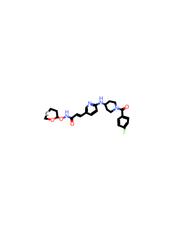 O=C(C=Cc1ccc(NC2CCN(C(=O)c3ccc(F)cc3)CC2)nc1)NOC1CCCCO1